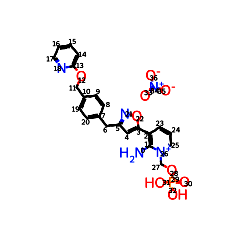 Nc1c(-c2cc(Cc3ccc(COc4ccccn4)cc3)no2)ccc[n+]1COP(=O)(O)O.O=[N+]([O-])[O-]